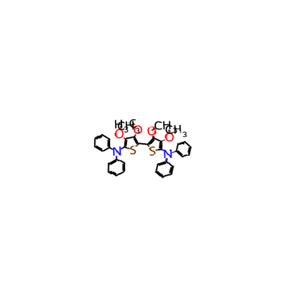 COc1c(-c2sc(N(c3ccccc3)c3ccccc3)c(OC)c2OC)sc(N(c2ccccc2)c2ccccc2)c1OC